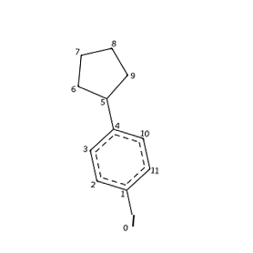 Ic1ccc(C2CCCC2)cc1